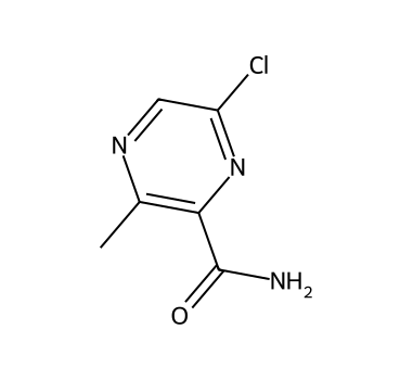 Cc1ncc(Cl)nc1C(N)=O